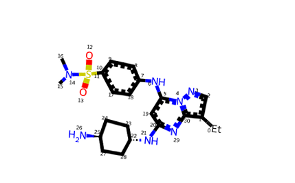 CCc1cnn2c(Nc3ccc(S(=O)(=O)N(C)C)cc3)cc(N[C@H]3CC[C@H](N)CC3)nc12